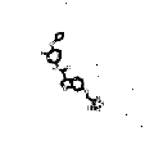 O=C(Nc1ccc(OC2CCC2)c(F)c1)c1coc2cc(OCc3nnn[nH]3)ccc12